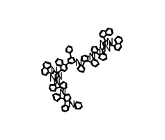 c1ccc(-c2cc(-c3ccc(-c4nc(-c5cccc6ccccc56)nc(-n5c6ccccc6c6c(-n7c8ccccc8c8c9c%10ccccc%10n(-c%10ccccc%10)c9ccc87)cccc65)n4)c4ccccc34)cc(-n3c4ccccc4c4c5c6ccccc6n(-c6cccc7c6c6ccccc6n7-c6nc(-c7cccc8ccccc78)nc(-c7cccc8ccccc78)n6)c5ccc43)c2)cc1